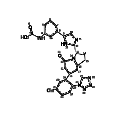 O=C(O)Nc1cccc(-c2cnc([C@@H]3CCc4cc(-c5cc(Cl)ccc5-n5cnnn5)cc(=O)n43)[nH]2)c1